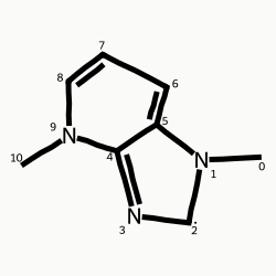 CN1[CH]N=C2C1=CC=CN2C